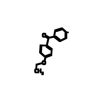 CCOc1ccc(C(=O)c2cc[c]cc2)cc1